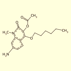 CCCCCCOc1c(OC(C)=O)c(=O)n(C)c2cc(N)ccc12